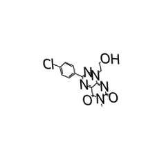 Cn1c(=O)nc2n(CCO)nc(-c3ccc(Cl)cc3)nc-2c1=O